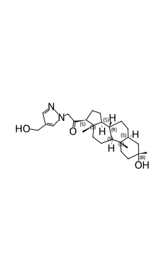 C[C@@]1(O)CC[C@@]2(C)[C@@H](CC[C@@H]3[C@@H]2CC[C@]2(C)[C@@H](C(=O)Cn4cc(CO)cn4)CC[C@@H]32)C1